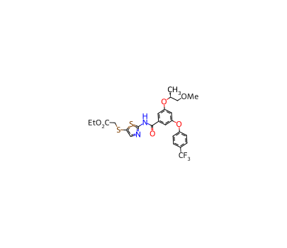 CCOC(=O)CSc1cnc(NC(=O)c2cc(Oc3ccc(C(F)(F)F)cc3)cc(O[C@@H](C)COC)c2)s1